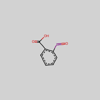 O=Ic1ccccc1C(=O)O